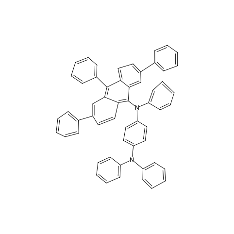 c1ccc(-c2ccc3c(N(c4ccccc4)c4ccc(N(c5ccccc5)c5ccccc5)cc4)c4cc(-c5ccccc5)ccc4c(-c4ccccc4)c3c2)cc1